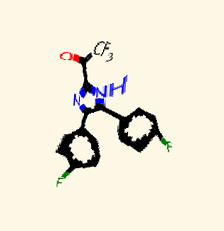 O=C(c1nc(-c2ccc(F)cc2)c(-c2ccc(F)cc2)[nH]1)C(F)(F)F